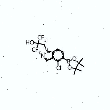 CC1(C)OB(c2ccc3c(cnn3CC(O)(C(F)(F)F)C(F)(F)F)c2Cl)OC1(C)C